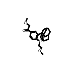 COCCOc1ccc(C(=O)COC)cc1C12CC3CC(CC(C3)C1)C2